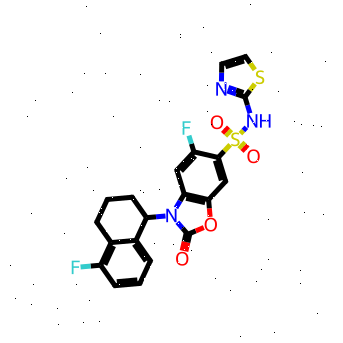 O=c1oc2cc(S(=O)(=O)Nc3nccs3)c(F)cc2n1C1CCCc2c(F)cccc21